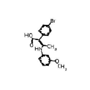 COc1cccc(N/C(C)=C(\C(=O)O)c2ccc(Br)cc2)c1